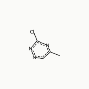 Cc1cnnc(Cl)n1